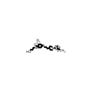 Cc1cc(OCCCC2CCN(c3noc(C(C)(F)F)n3)CC2)ccc1C(=O)NCCCO